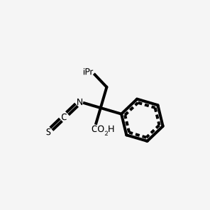 CC(C)CC(N=C=S)(C(=O)O)c1ccccc1